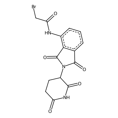 O=C1CCC(N2C(=O)c3cccc(NC(=O)CBr)c3C2=O)C(=O)N1